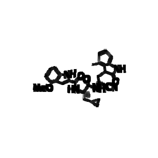 COc1cccc2[nH]c(C(=O)N[C@@H](CC3CC3)C(=O)N[C@H](C#N)CC3C(=O)Nc4cccc(C)c43)cc12